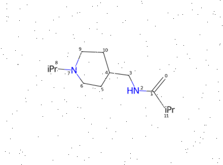 C=C(NCC1CCN(C(C)C)CC1)C(C)C